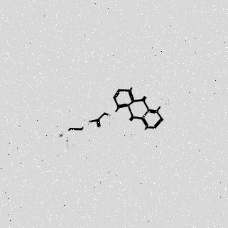 CCN(CC)CCNC(=O)CNc1ccc(O)c2c1C(=O)c1c(O)ccc(N)c1C2=O